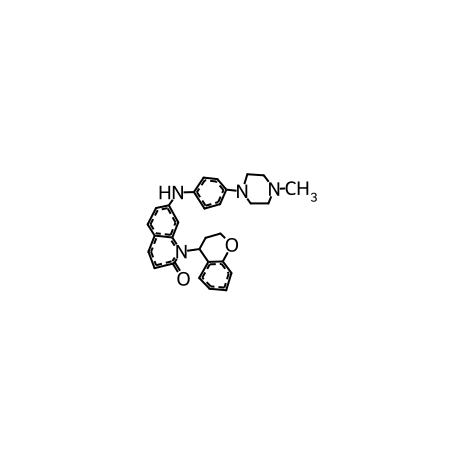 CN1CCN(c2ccc(Nc3ccc4ccc(=O)n(C5CCOc6ccccc65)c4c3)cc2)CC1